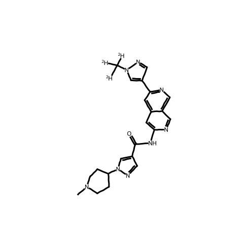 [2H]C([2H])([2H])n1cc(-c2cc3cc(NC(=O)c4cnn(C5CCN(C)CC5)c4)ncc3cn2)cn1